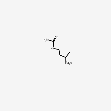 C[C@H](CCNC(=N)N)C(=O)O